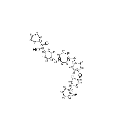 O=C(c1ccccc1)C(O)c1ccc(CN2CCCN(Cc3ccc(Oc4ccc(-c5ccccc5F)cc4)cc3)CC2)cc1